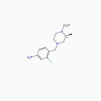 C[C@H]1CN(Cc2ccc(N)cc2F)CCN1C(=O)O